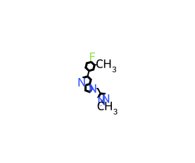 Cc1cc(-c2cnc3ccn(Cc4cnn(C)c4)c3c2)ccc1F